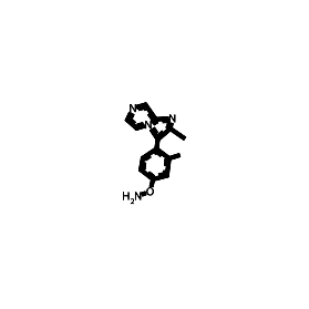 Cc1cc(ON)ccc1-c1c(C)nc2cnccn12